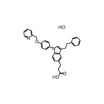 Cl.O=C(O)CCc1ccc2c(c1)c(CCc1ccccc1)cn2-c1ccc(OCc2ccccn2)cc1